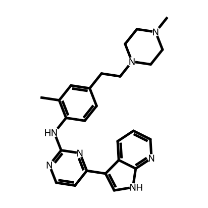 Cc1cc(CCN2CCN(C)CC2)ccc1Nc1nccc(-c2c[nH]c3ncccc23)n1